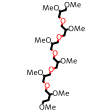 COCCC(COCC(COCC(COCC(COCC(COCC(COC)OC)OC)OC)OC)OC)OC